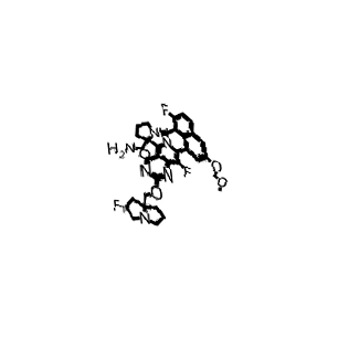 C#Cc1c(F)ccc2cc(OCOC)cc(-c3nc(C4(C(N)=O)CCCN4)c4cnc(OC[C@@]56CCCN5C[C@H](F)C6)nc4c3F)c12